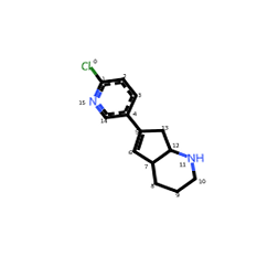 Clc1ccc(C2=CC3CCCNC3C2)cn1